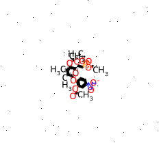 CCOP(=O)(CC[C@H]1O[C@H](Oc2ccc([N+](=O)[O-])cc2OC(C)=O)[C@@H](C)[C@@H](C)[C@@H]1OC(C)=O)OCC